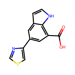 O=C(O)c1cc(-c2cscn2)cc2cc[nH]c12